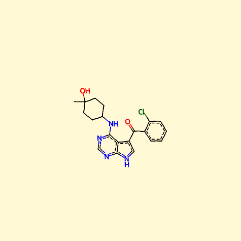 CC1(O)CCC(Nc2ncnc3[nH]cc(C(=O)c4ccccc4Cl)c23)CC1